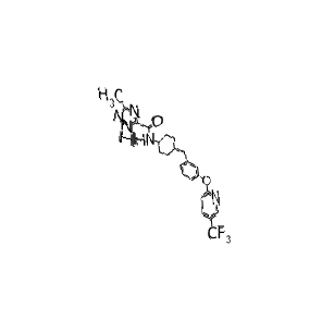 Cc1n[nH]c(C(=O)NC2CCC(=Cc3cccc(Oc4ccc(C(F)(F)F)cn4)c3)CC2)n1